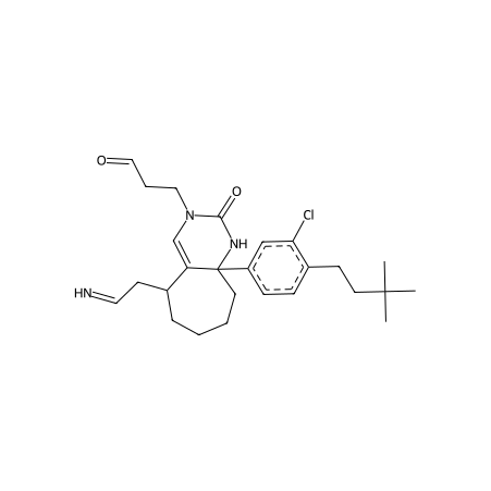 CC(C)(C)CCc1ccc(C23CCCCC(CC=N)C2=CN(CCC=O)C(=O)N3)cc1Cl